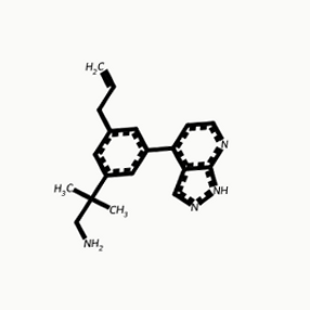 C=CCc1cc(-c2ccnc3[nH]ncc23)cc(C(C)(C)CN)c1